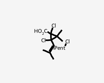 CC(C)=CC1(Cl)C(C)(C)C1(Cl)C(=O)O.CCCCCCl